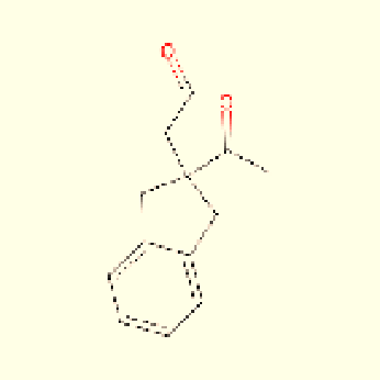 CC(=O)C1(CC=O)Cc2ccccc2C1